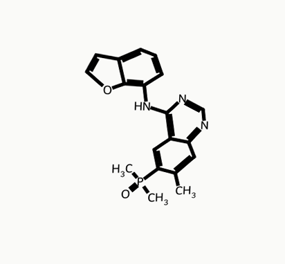 Cc1cc2ncnc(Nc3cccc4ccoc34)c2cc1P(C)(C)=O